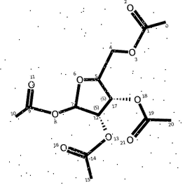 CC(=O)OCC1OC(OC(C)=O)[C@@H](OC(C)=O)[C@H]1OC(C)=O